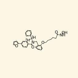 [2H]C([2H])(c1ccccc1)N(Cc1ccccc1OCCCCCC(=O)NO)C(=O)c1ccc(-c2ccco2)cc1